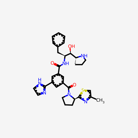 Cc1csc([C@H]2CCCN2C(=O)c2cc(C(=O)N[C@@H](Cc3ccccc3)[C@@H](O)[C@H]3CCCN3)cc(-c3ncc[nH]3)c2)n1